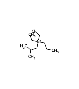 CCC[N+](CC)(CCl)CC(C)C